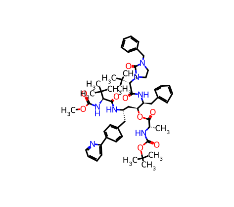 COC(=O)N[C@H](C(=O)N[C@@H](Cc1ccc(-c2ccccn2)cc1)C[C@H](OC(=O)[C@H](C)NC(=O)OC(C)(C)C)[C@H](Cc1ccccc1)NC(=O)[C@@H](N1CCN(Cc2ccccc2)C1=O)C(C)(C)C)C(C)(C)C